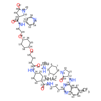 CC(=O)N[C@@H]1C[C@H](NC(C)(C)C)CC[C@@H]1N1CC[C@H](Nc2nc(CCCNC(=O)C3CCC(NC(=O)CCCOC4CCC(OCCNC(=O)[C@H]5CC(=O)N(C)[C@@H]5c5cccnc5)CC4)CC3)nc3ccc(C(F)(F)F)cc23)C1=O